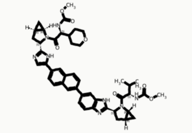 COC(=O)N[C@H](C(=O)N1[C@@H]2C[C@@H]2C[C@H]1c1nc2ccc(-c3ccc4cc(-c5cnc([C@@H]6C[C@H]7C[C@H]7N6C(=O)[C@@H](NC(=O)OC)C6CCOCC6)[nH]5)ccc4c3)cc2[nH]1)C(C)C